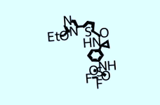 CCOc1cncc(-c2ccc(C(=O)NC3(c4cccc(NS(=O)(=O)C(F)F)c4)CC3)s2)n1